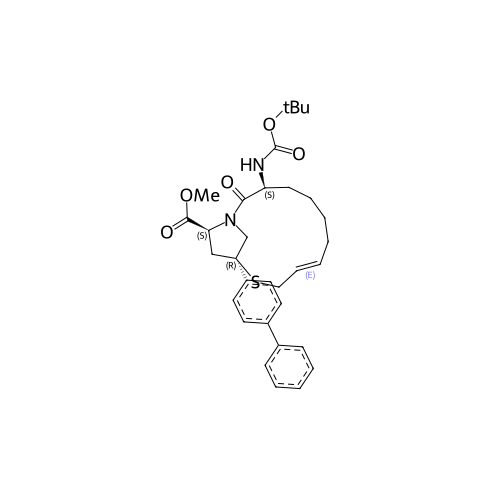 COC(=O)[C@@H]1C[C@@]2(c3ccc(-c4ccccc4)cc3)CN1C(=O)[C@@H](NC(=O)OC(C)(C)C)CCCC/C=C/CS2